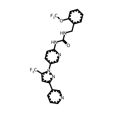 O=C(NCc1ccccc1OC(F)(F)F)Nc1ccc(-n2nc(-c3cccnc3)cc2C(F)(F)F)cn1